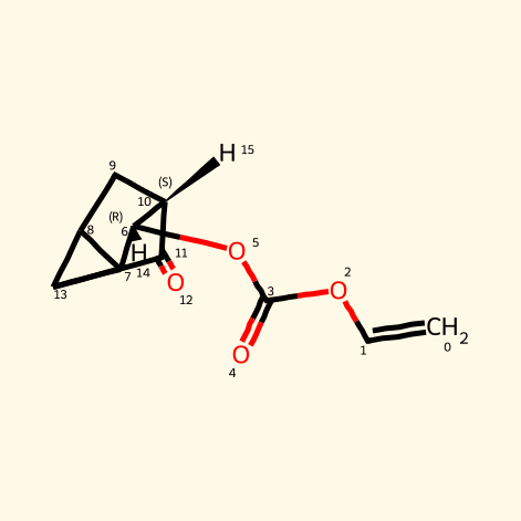 C=COC(=O)O[C@@H]1C2C3C[C@@H]1C(=O)C32